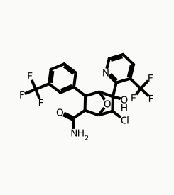 NC(=O)C1C2OC(C1c1cccc(C(F)(F)F)c1)C(O)(c1ncccc1C(F)(F)F)C2Cl